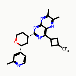 Cc1cc([C@H]2C[C@@H](c3nc(C4CC(C(F)(F)F)C4)c4nc(C)c(C)nc4n3)CCO2)ccn1